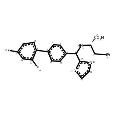 CC(C)C[C@H](NC(c1ccc(-c2ccc(F)cc2F)cc1)c1nccs1)C(=O)O